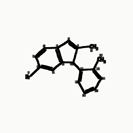 CC1=Cc2ccc(Br)cc2C1c1ccccc1C